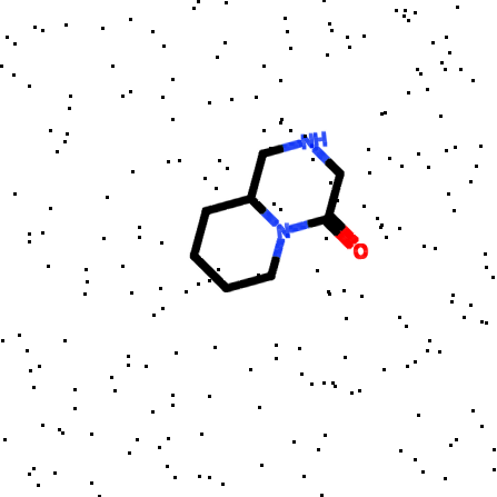 O=C1CNCC2CCCCN12